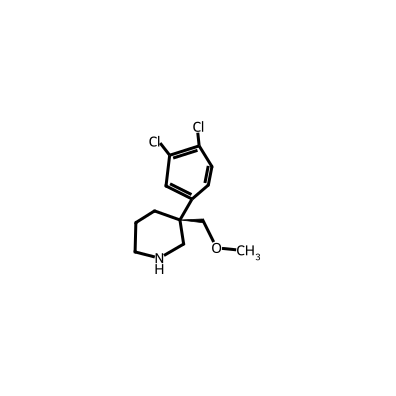 COC[C@]1(c2ccc(Cl)c(Cl)c2)CCCNC1